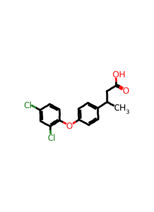 CC(CC(=O)O)c1ccc(Oc2ccc(Cl)cc2Cl)cc1